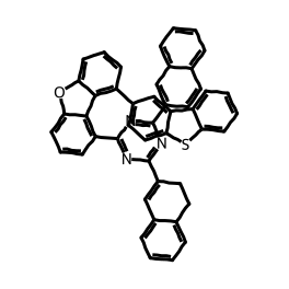 C1=C(c2nc(-c3ccc4ccccc4c3)nc(-c3cccc4oc5cccc(-c6ccc7sc8ccccc8c7c6)c5c34)n2)CCc2ccccc21